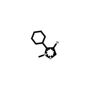 Cn1ncc(Br)c1C1CCCCC1